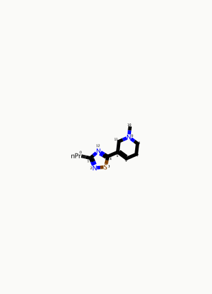 CCCc1nsc(C2=CCCN(C)C2)n1